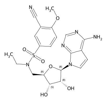 CCN(C[C@H]1O[C@@H](n2ccc3c(N)ncnc32)[C@H](O)[C@@H]1O)S(=O)(=O)c1ccc(OC)c(C#N)c1